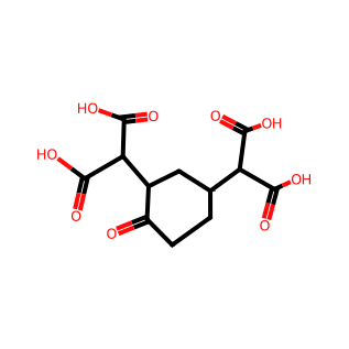 O=C(O)C([C]1CCC(=O)C(C(C(=O)O)C(=O)O)C1)C(=O)O